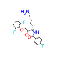 NCCCCC[C@H](NC(=O)c1ccc(F)cc1)C(=O)COc1c(F)cccc1F